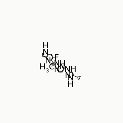 C[C@H](Nc1nccc(Nc2cc(C3CC3)[nH]n2)n1)c1nc2cc[nH]c2cc1F